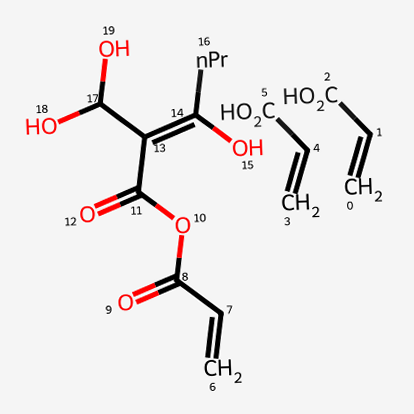 C=CC(=O)O.C=CC(=O)O.C=CC(=O)OC(=O)C(=C(O)CCC)C(O)O